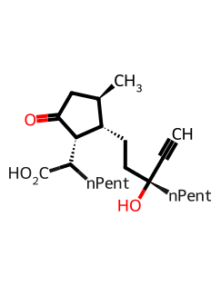 C#C[C@@](O)(CCCCC)CC[C@H]1[C@H](C)CC(=O)[C@H]1C(CCCCC)C(=O)O